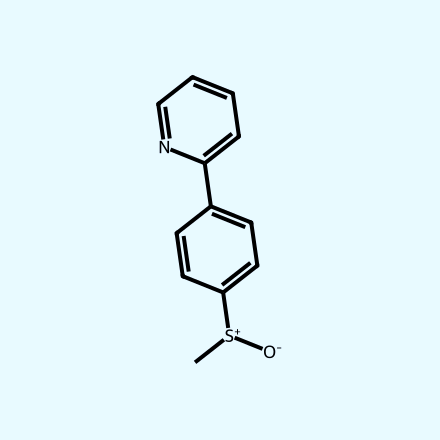 C[S+]([O-])c1ccc(-c2ccccn2)cc1